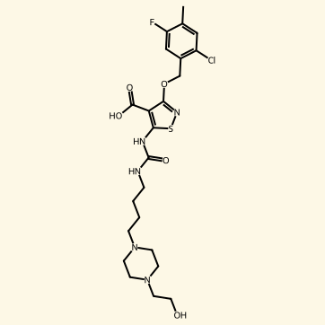 Cc1cc(Cl)c(COc2nsc(NC(=O)NCCCCN3CCN(CCO)CC3)c2C(=O)O)cc1F